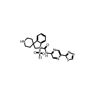 CCS(=O)(=O)[N+]1(C(=O)Nc2cnc(-c3nncs3)cn2)CC2(CCNCC2)c2ccccc21